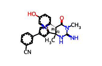 CN1C(=N)N[C@](C)(c2cc(-c3cccc(C#N)c3)cs2)[C@H](c2ccc(O)cn2)C1=O